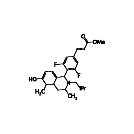 COC(=O)/C=C/c1cc(F)c(C2C3=CC=C(O)C(C)C3CC(C)N2CC(C)C)c(F)c1